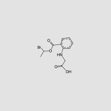 CC(Br)OC(=O)c1ccccc1NCC(=O)O